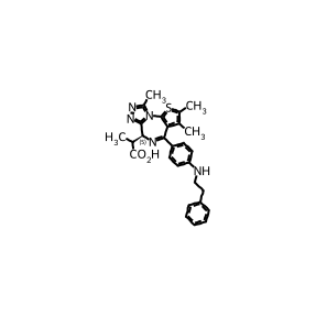 Cc1sc2c(c1C)C(c1ccc(NCCc3ccccc3)cc1)=N[C@@H](C(C)C(=O)O)c1nnc(C)n1-2